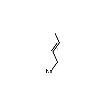 C/C=C/[CH2][Na]